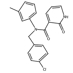 Cc1cccc(N(Cc2ccc(Cl)cc2)C(=O)c2ccc[nH]c2=O)c1